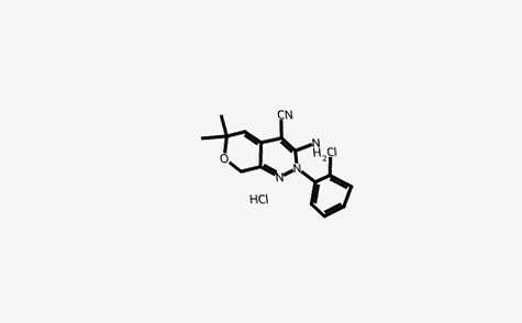 CC1(C)C=C2C(=NN(c3ccccc3Cl)C(N)=C2C#N)CO1.Cl